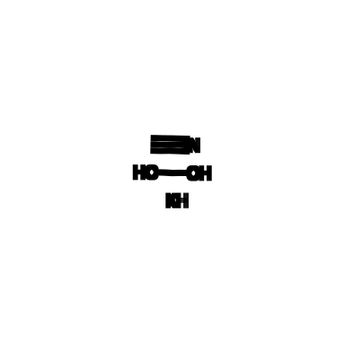 C#N.OO.[KH]